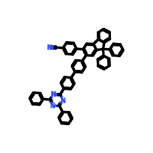 N#Cc1ccc(-c2cc3c(cc2-c2ccc(-c4ccc(-c5nc(-c6ccccc6)nc(-c6ccccc6)n5)cc4)cc2)C(c2ccccc2)(c2ccccc2)c2ccccc2-3)cc1